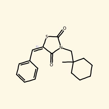 CC1(CN2C(=O)S/C(=C/c3ccccc3)C2=O)CCCCC1